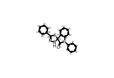 O=C1N(c2ccccc2)c2ccccc2C12NN=C(c1ccccc1)S2